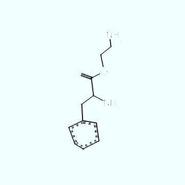 NCCOC(=O)C(N)Cc1ccccc1